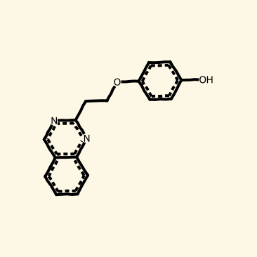 Oc1ccc(OCCc2ncc3ccccc3n2)cc1